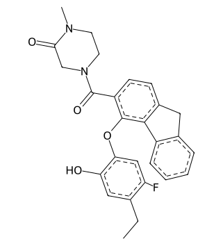 CCc1cc(O)c(Oc2c(C(=O)N3CCN(C)C(=O)C3)ccc3c2-c2ccccc2C3)cc1F